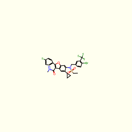 CCS(=O)(=O)N(Cc1ccc(Br)c(C(F)(F)F)c1)c1cc2oc(-c3ccc(F)cc3)c(C(=O)NC)c2cc1C1CC1